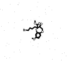 COC(=O)C1(CCCCBr)Sc2cc(OC)ccc2OCC1=O